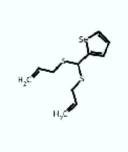 C=CCSC(SCC=C)c1ccc[se]1